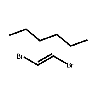 BrC=CBr.CCCCCC